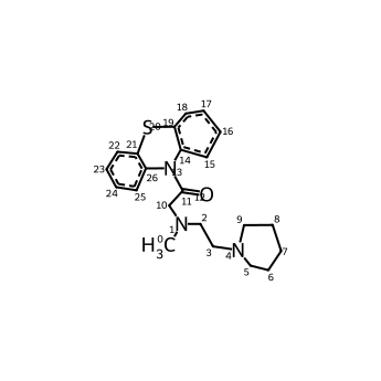 CN(CCN1CCCCC1)CC(=O)N1c2ccccc2Sc2ccccc21